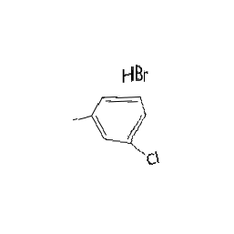 Br.Cc1cccc(Cl)c1